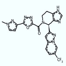 Cn1ccc(-c2nnc(C(=O)N3CCc4[nH]cnc4[C@H]3c3cc4ccc(C(F)(F)F)cn4n3)o2)n1